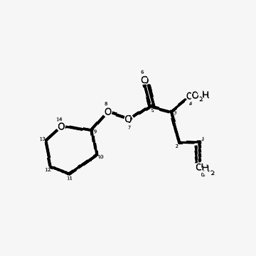 C=CCC(C(=O)O)C(=O)OOC1CCCCO1